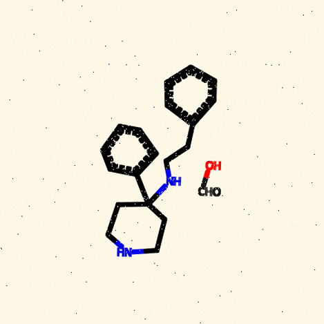 O=CO.c1ccc(CCNC2(c3ccccc3)CCNCC2)cc1